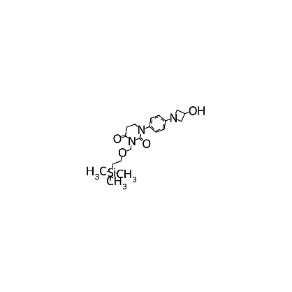 C[Si](C)(C)CCOCN1C(=O)CCN(c2ccc(N3CC(O)C3)cc2)C1=O